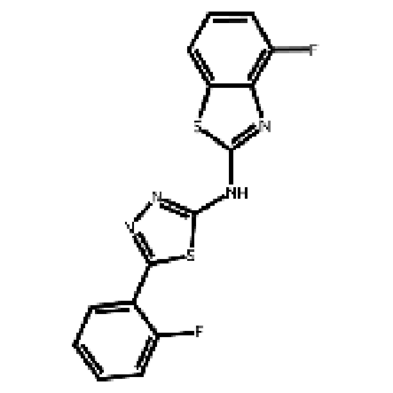 Fc1ccccc1-c1nnc(Nc2nc3c(F)cccc3s2)s1